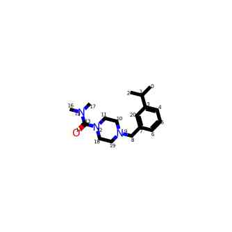 CC(C)c1cccc(CN2CCN(C(=O)N(C)C)CC2)c1